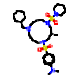 C[C@H]1CN(S(=O)(=O)c2ccc(N(C)C)cc2)CCCN(CC2CCCCC2)CCCN(S(=O)(=O)N2CCCCC2)C1